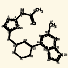 CC(=O)Nc1ncc(CN2CCCC(c3cc(C)nc4nccn34)C2)s1